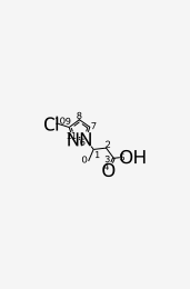 CC(CC(=O)O)n1ccc(Cl)n1